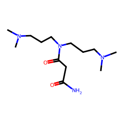 CN(C)CCCN(CCCN(C)C)C(=O)CC(N)=O